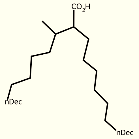 CCCCCCCCCCCCCCCCC(C(=O)O)C(C)CCCCCCCCCCCCCC